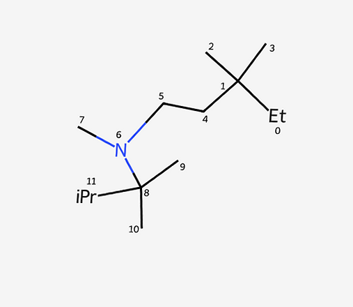 CCC(C)(C)CCN(C)C(C)(C)C(C)C